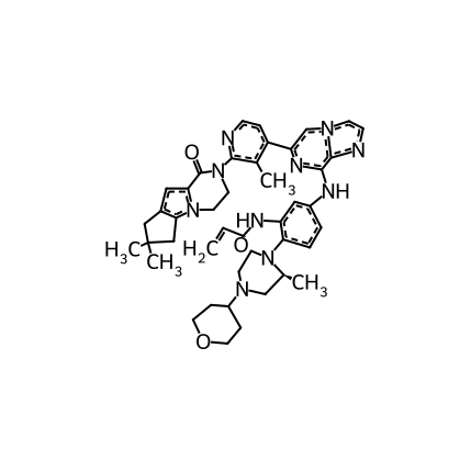 C=CC(=O)Nc1cc(Nc2nc(-c3ccnc(N4CCn5c(cc6c5CC(C)(C)C6)C4=O)c3C)cn3ccnc23)ccc1N1CCN(C2CCOCC2)C[C@@H]1C